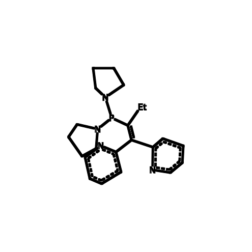 CCC(=C(c1ccccn1)c1ccccn1)P(N1CCCC1)N1CCCC1